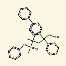 CCC(C)CC(CC(C)(C(=O)OCc1ccccc1)P(C)(=O)Oc1ccccc1)(c1ccccc1)c1ccccc1